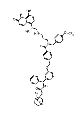 O=C(N[C@@H](c1ccccc1)c1cccc(OCc2ccc(C(=O)N(CCCNC[C@H](O)c3ccc(O)c4[nH]c(=O)ccc34)Cc3ccc(OC(F)(F)F)cc3)cc2)c1)O[C@H]1CN2CCC1CC2